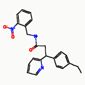 CCc1ccc(C(CC(=O)[N]Cc2ccccc2[N+](=O)[O-])c2ccccn2)cc1